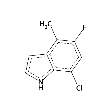 Cc1c(F)cc(Cl)c2[nH]ccc12